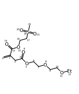 C=C(CC(=O)OCCOCCOCC)C(=O)OCCS(C)(=O)=O